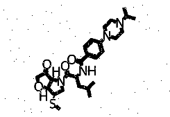 CS[C@H]1CN(C(=O)C(CC(C)C)NC(=O)c2ccc(N3CCN(C(C)C)CC3)cc2)[C@@H]2C(=O)CO[C@H]12